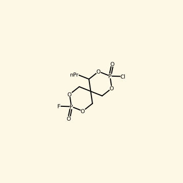 CCCC1OP(=O)(Cl)OCC12COP(=O)(F)OC2